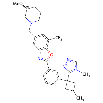 CO[C@H]1CCCN(Cc2cc(C(F)(F)F)c3oc(-c4cccc(C5(c6nncn6C)CC(C)C5)c4)nc3c2)C1